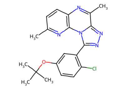 Cc1ccc2nc(C)c3nnc(-c4cc(OC(C)(C)C)ccc4Cl)n3c2n1